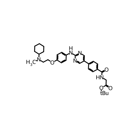 CN(CCOc1ccc(Nc2ncc(-c3ccc(C(=O)NCC(=O)OC(C)(C)C)cc3)cn2)cc1)C1CCCCC1